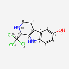 Oc1ccc2[nH]c3c(c2c1)CCNC3C(Cl)(Cl)Cl